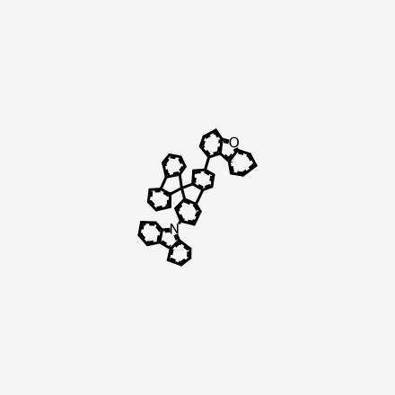 c1ccc2c(c1)-c1ccccc1C21c2cc(-c3cccc4oc5ccccc5c34)ccc2-c2ccc(-n3c4ccccc4c4ccccc43)cc21